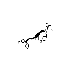 CCN(CC)CC#CCCC(=O)O